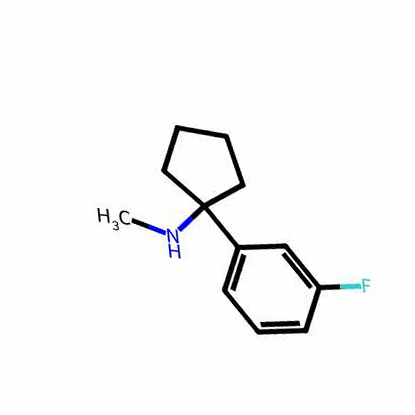 CNC1(c2cccc(F)c2)CCCC1